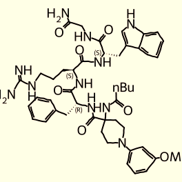 CCCCC(=O)NC1(C(=O)N[C@H](Cc2ccccc2)C(=O)N[C@@H](CCCNC(=N)N)C(=O)N[C@@H](Cc2c[nH]c3ccccc23)C(=O)NCC(N)=O)CCN(c2cccc(OC)c2)CC1